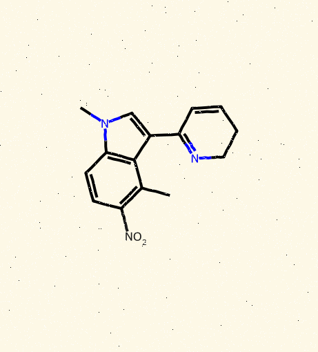 Cc1c([N+](=O)[O-])ccc2c1c(C1=NCCC=C1)cn2C